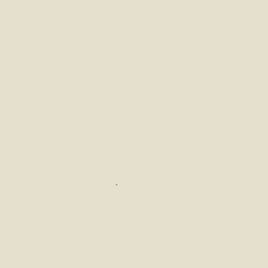 O=C(O)Cc1cccc(OC(F)(F)F)c1OI